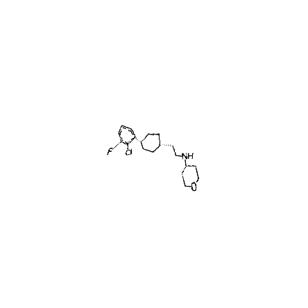 Fc1cccc([C@H]2CC[C@@H](CCNC3CCOCC3)CC2)c1Cl